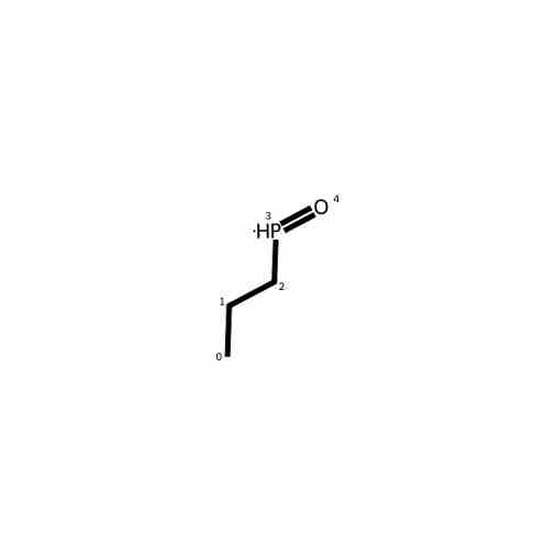 CCC[PH]=O